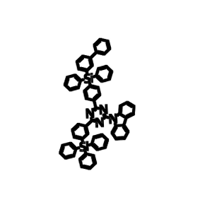 c1ccc(-c2cccc([Si](c3ccccc3)(c3ccccc3)c3ccc(-c4nc(-c5cccc([Si](c6ccccc6)(c6ccccc6)c6ccccc6)c5)nc(-n5c6ccccc6c6ccccc65)n4)cc3)c2)cc1